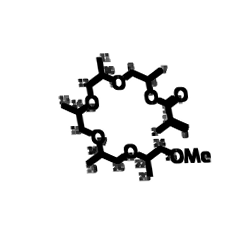 C=C(C)C(=O)OC(C)COC(C)COC(C)COC(C)COC(C)COC